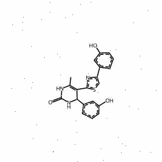 CC1=C(c2nc(-c3cccc(O)c3)cs2)C(c2cccc(O)c2)NC(=O)N1